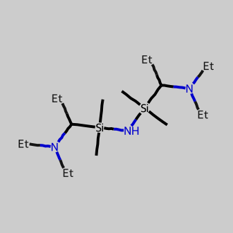 CCC(N(CC)CC)[Si](C)(C)N[Si](C)(C)C(CC)N(CC)CC